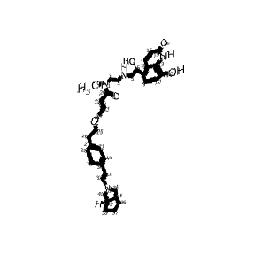 CN(CCNC[C@H](O)c1ccc(O)c2[nH]c(=O)ccc12)C(=O)CCOCCc1ccc(CCN2CC3CCC[C@@H]3C2)cc1